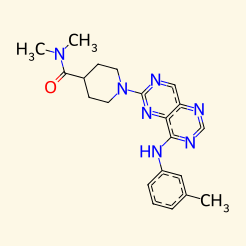 Cc1cccc(Nc2ncnc3cnc(N4CCC(C(=O)N(C)C)CC4)nc23)c1